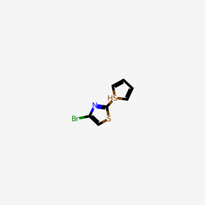 Brc1csc([SH]2C=CC=C2)n1